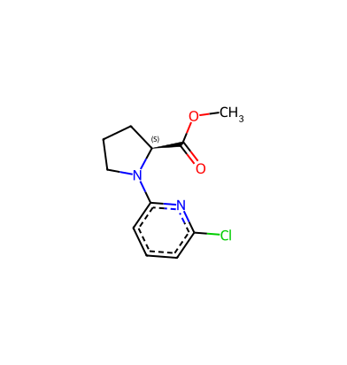 COC(=O)[C@@H]1CCCN1c1cccc(Cl)n1